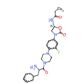 CCC(=O)N[C@@H]1CN(c2ccc(N3CCN(C(=O)C(N)Cc4ccccc4)CC3)c(F)c2)C(=O)O1